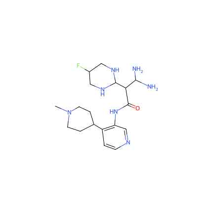 CN1CCC(c2ccncc2NC(=O)C(C(N)N)C2NCC(F)CN2)CC1